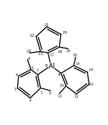 Cc1cccc(C)[c]1[Al]([c]1c(C)cccc1C)[c]1c(C)cccc1C